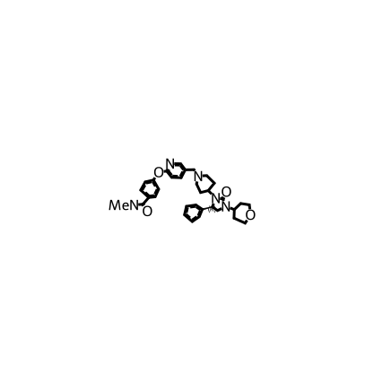 CNC(=O)c1ccc(Oc2ccc(CN3CCC(N4C(=O)N(C5CCOCC5)C[C@H]4c4ccccc4)CC3)cn2)cc1